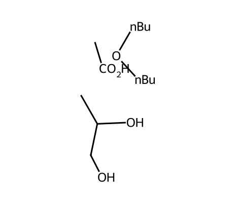 CC(=O)O.CC(O)CO.CCCCOCCCC